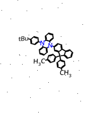 Cc1ccc(C2(c3ccc(C)cc3)c3ccccc3-c3ccc(N4c5ccccc5N(c5ccc(C(C)(C)C)cc5)c5ccccc54)cc32)cc1